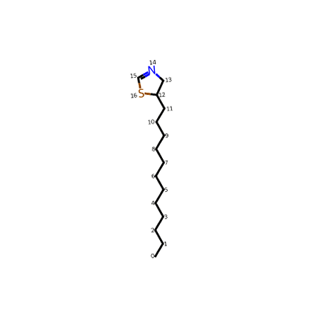 CCCCCCCCCCCCC1CN=[C]S1